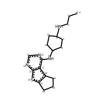 FCCNC1CCC(Nc2ncnc3sc4c(c23)CCC4)CC1